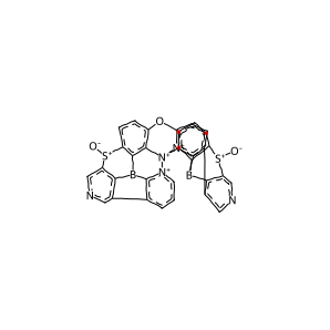 [O-][S+]1c2cncc3c2B2c4c1ccc1c4[N+]4(c5c(ccc6c5B5c7c(cncc7[S+]6[O-])-c6ccc[n+]4c65)O1)[n+]1cccc-3c12